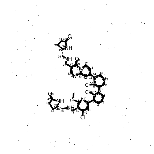 CSc1nc(-c2cccc(-c3cccc(-c4ccn5c(=O)c(CNC[C@@H]6CCC(=O)N6)cnc5c4)c3Cl)c2Cl)cc(Cl)c1CNC[C@@H]1CCC(=O)N1